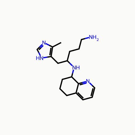 Cc1nc[nH]c1CC(CCCN)NC1CCCc2cccnc21